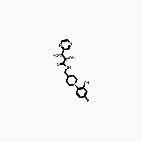 N#Cc1cc(F)ccc1N1CCC(CNC(=O)[C@H](O)[C@@H](O)c2cnccn2)CC1